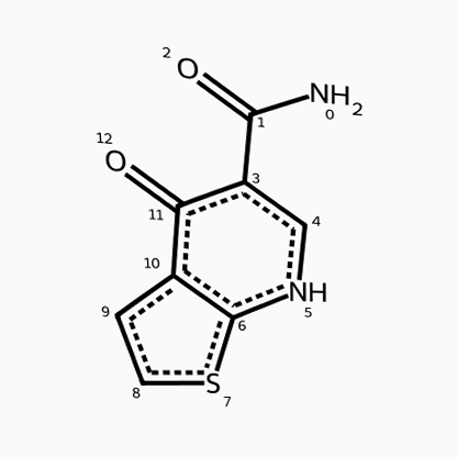 NC(=O)c1c[nH]c2sccc2c1=O